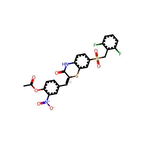 CC(=O)Oc1ccc(/C=C2/Sc3cc(S(=O)(=O)Cc4c(F)cccc4F)ccc3NC2=O)cc1[N+](=O)[O-]